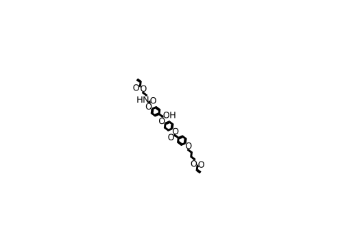 C=CC(=O)OCCCCOc1ccc(C(=O)OC2=CC=C(OC(O)c3ccc(OC(=O)NCCOC(=O)C=C)cc3)CC2)cc1